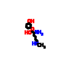 CNCCCC[C@@H](N)[C@H](O)O[C@@H]1CCC[C@H](O)C1